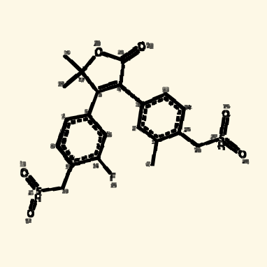 Cc1cc(C2=C(c3ccc(C[SH](=O)=O)c(F)c3)C(C)(C)OC2=O)ccc1C[SH](=O)=O